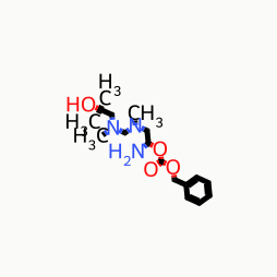 CN(CC(N)OC(=O)OCc1ccccc1)CN(C)CC(C)(C)O